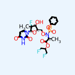 C[C@@H](C(=O)OC(CF)CF)N(OC[C@H]1O[C@@H](n2ccc(=O)[nH]c2=O)[C@](C)(F)[C@@H]1O)[PH](=O)Oc1ccccc1